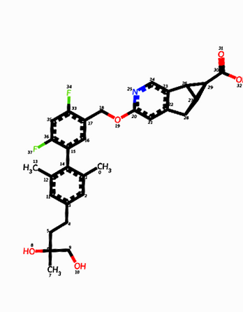 Cc1cc(CCC(C)(O)CO)cc(C)c1-c1cc(COc2cc3c(cn2)C2C4C3C24C(=O)O)c(F)cc1F